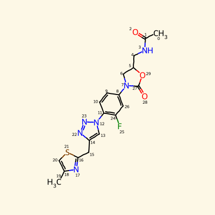 CC(=O)NCC1CN(c2ccc(-n3cc(Cc4nc(C)cs4)nn3)c(F)c2)C(=O)O1